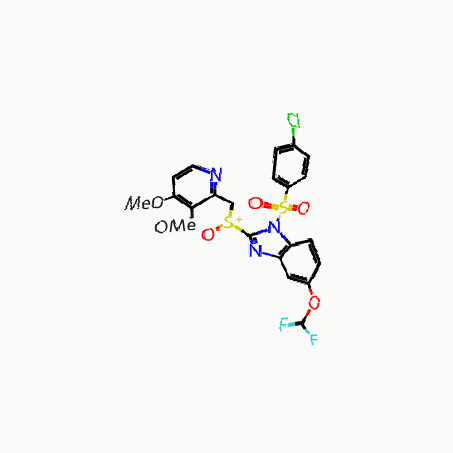 COc1ccnc(C[S+]([O-])c2nc3cc(OC(F)F)ccc3n2S(=O)(=O)c2ccc(Cl)cc2)c1OC